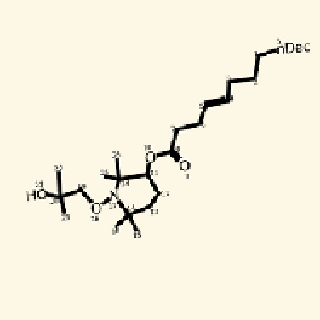 CCCCCCCCCCCCCC=CCCC(=O)OC1CCC(C)(C)N(OCC(C)(C)O)C1(C)C